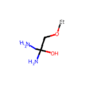 CCOCC(N)(N)O